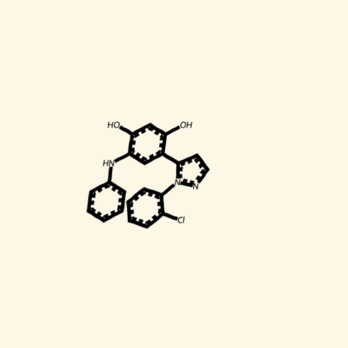 Oc1cc(O)c(-c2ccnn2-c2ccccc2Cl)cc1Nc1ccccc1